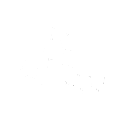 CN1CCN(Cc2ccccc2F)c2nc(-n3c(=O)[nH]c4ncccc43)ccc2C1=O